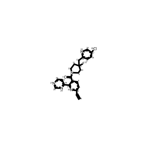 C#Cc1ccc(C(=O)N2CCC(F)(Cc3ccc(Cl)cn3)CC2)c(-c2ccncn2)n1